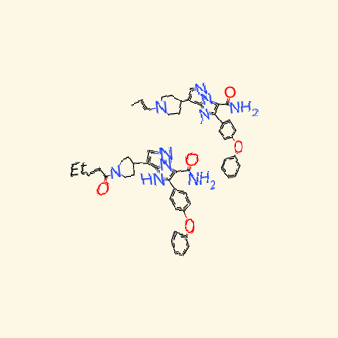 CC=CN1CCC(c2cnn3c(C(N)=O)c(-c4ccc(Oc5ccccc5)cc4)n(C)c23)CC1.CCC=CC(=O)N1CCC(c2cnn3c(C(N)=O)c(-c4ccc(Oc5ccccc5)cc4)[nH]c23)CC1